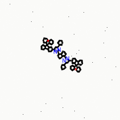 c1ccc(-c2cc(-c3ccc4c(c3)C(c3ccccc3)(c3ccccc3)c3ccccc3-4)nc(-c3cccc4c(-c5nc(-c6ccccc6)cc(-c6ccc7c(c6)C(c6ccccc6)(c6ccccc6)c6ccccc6-7)n5)cccc34)n2)cc1